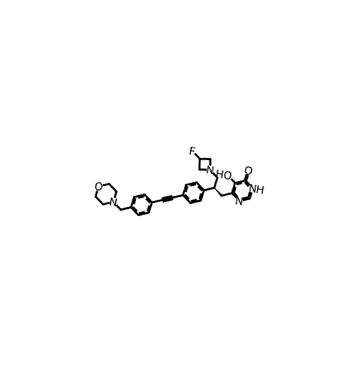 O=c1[nH]cnc(C[C@H](CN2CC(F)C2)c2ccc(C#Cc3ccc(CN4CCOCC4)cc3)cc2)c1O